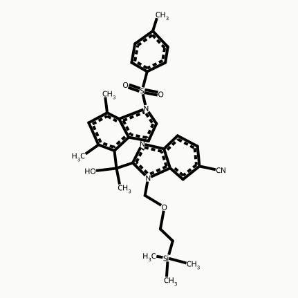 Cc1ccc(S(=O)(=O)n2ccc3c(C(C)(O)c4nc5ccc(C#N)cc5n4COCC[Si](C)(C)C)c(C)cc(C)c32)cc1